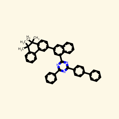 CC1(C)c2ccccc2-c2cc(-c3cc(-c4nc(-c5ccccc5)nc(-c5ccc(-c6ccccc6)cc5)n4)c4ccccc4c3)ccc2C1(C)C